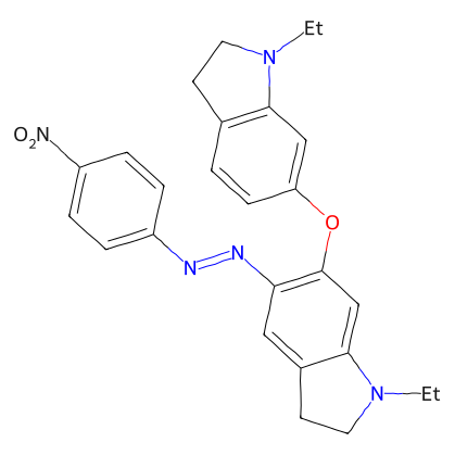 CCN1CCc2ccc(Oc3cc4c(cc3N=Nc3ccc([N+](=O)[O-])cc3)CCN4CC)cc21